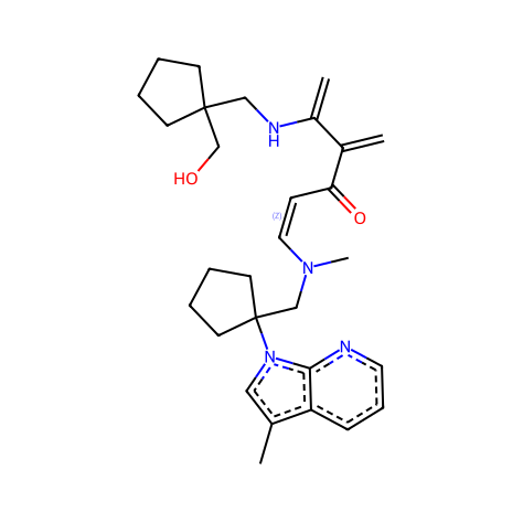 C=C(NCC1(CO)CCCC1)C(=C)C(=O)/C=C\N(C)CC1(n2cc(C)c3cccnc32)CCCC1